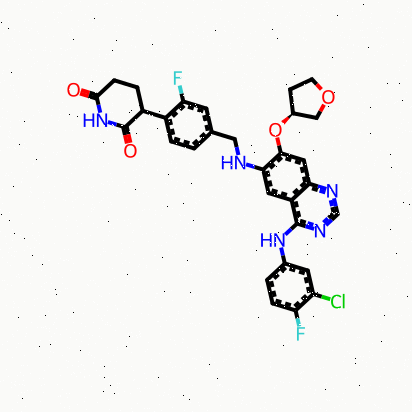 O=C1CCC(c2ccc(CNc3cc4c(Nc5ccc(F)c(Cl)c5)ncnc4cc3O[C@H]3CCOC3)cc2F)C(=O)N1